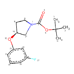 CC(C)(C)OC(=O)N1CC[C@H](Oc2cccc(F)c2)C1